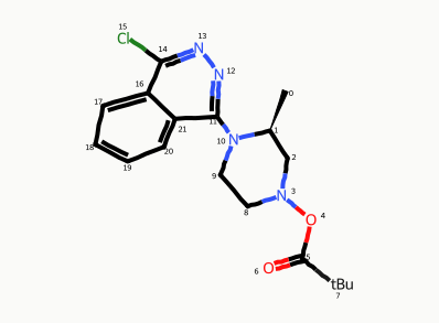 C[C@H]1CN(OC(=O)C(C)(C)C)CCN1c1nnc(Cl)c2ccccc12